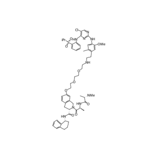 CN[C@@H](C)C(=O)N[C@@H](C)C(=O)N1Cc2cc(OCCOCCOCCNCCc3cc(OC)c(Nc4ncc(Cl)c(Nc5ccccc5S(=O)(=O)C(C)C)n4)cc3C)ccc2C[C@H]1C(=O)N[C@@H]1CCCc2ccccc21